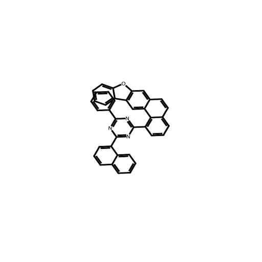 c1ccc(-c2nc(-c3cccc4ccccc34)nc(-c3cccc4ccc5cc6oc7ccccc7c6cc5c34)n2)cc1